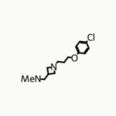 CNCC1CN(CCCOc2ccc(Cl)cc2)C1